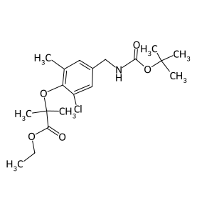 CCOC(=O)C(C)(C)Oc1c(C)cc(CNC(=O)OC(C)(C)C)cc1Cl